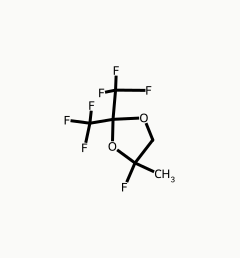 CC1(F)COC(C(F)(F)F)(C(F)(F)F)O1